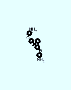 CC(c1ccccc1)(c1ccc(Oc2ccc(N)cc2)cc1)c1ccc(Oc2ccc(N)cc2)cc1